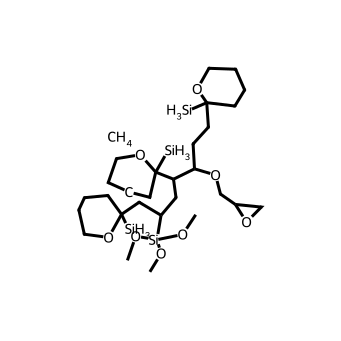 C.CO[Si](OC)(OC)C(CC(C(CCC1([SiH3])CCCCO1)OCC1CO1)C1([SiH3])CCCCO1)CC1([SiH3])CCCCO1